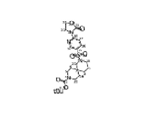 CC(C)(C)OC(=O)N1CCC2(CCCN(S(=O)(=O)c3ccc(N4CCOC4=O)nc3)C2)CC1